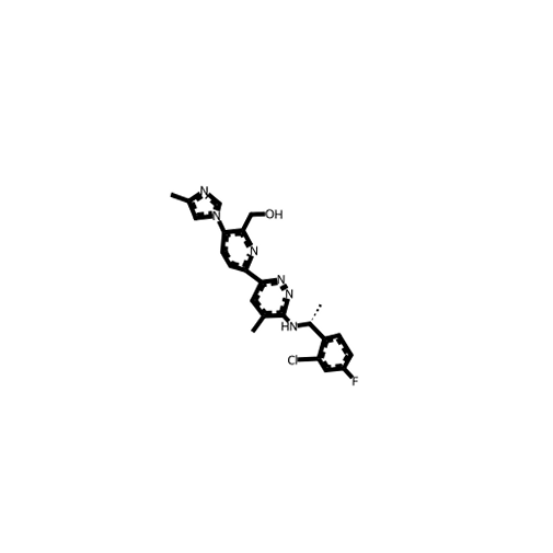 Cc1cn(-c2ccc(-c3cc(C)c(N[C@H](C)c4ccc(F)cc4Cl)nn3)nc2CO)cn1